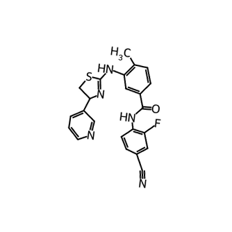 Cc1ccc(C(=O)Nc2ccc(C#N)cc2F)cc1NC1=NC(c2cccnc2)CS1